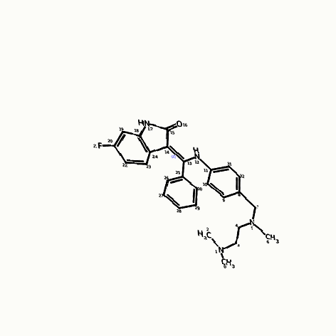 CN(C)CCN(C)Cc1ccc(N/C(=C2\C(=O)Nc3cc(F)ccc32)c2ccccc2)cc1